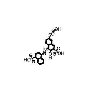 O=S(=O)(O)c1cc2cc(SOOO)ccc2c(N=Nc2ccc(S(=O)(=O)O)c3ccccc23)c1O